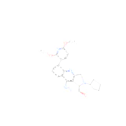 COc1ccc(-c2cccc3c(N)c4c(nc23)CN(C2CCCC2)C4C=O)c(OC)n1